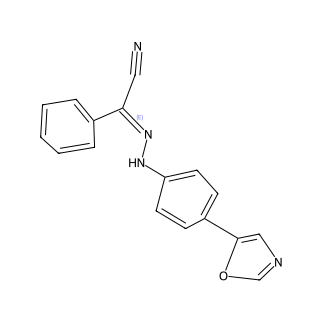 N#C/C(=N/Nc1ccc(-c2cnco2)cc1)c1ccccc1